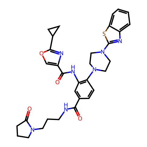 O=C(NCCCN1CCCC1=O)c1ccc(N2CCN(c3nc4ccccc4s3)CC2)c(NC(=O)c2coc(C3CC3)n2)c1